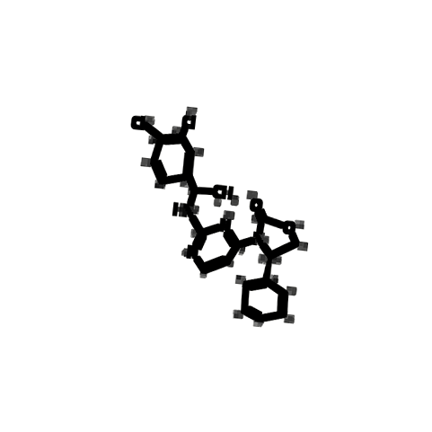 CC(Nc1nccc(N2C(=O)OC[C@H]2c2ccccc2)n1)c1ccc(Cl)c(Cl)c1